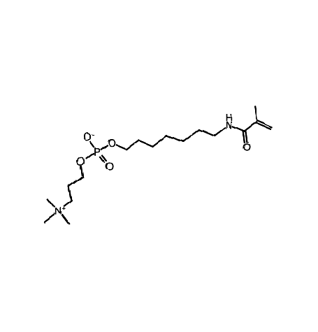 C=C(C)C(=O)NCCCCCCCOP(=O)([O-])OCCC[N+](C)(C)C